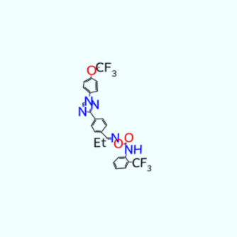 CC/C(=N\OC(=O)Nc1ccccc1C(F)(F)F)c1ccc(-c2ncn(-c3ccc(OC(F)(F)F)cc3)n2)cc1